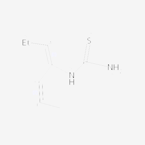 C/C=C\C(=C/CC)NC(N)=S